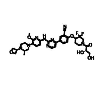 COc1nc(Nc2nccc(-c3ccc(OC4CCN(C(=O)[C@@H](O)CO)CC4(F)F)c(C#N)c3)n2)ccc1N1CCN(C2COC2)[C@H](C)C1